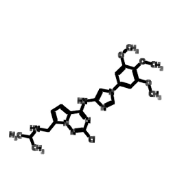 COc1cc(-n2cnc(Nc3nc(Cl)nn4c(CNC(C)C)ccc34)c2)cc(OC)c1OC